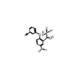 N#Cc1cccc(Oc2ccc([N+](=O)[O-])cc2C(O)P(=O)(O)O)c1